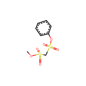 COS(=O)(=O)CS(=O)(=O)Oc1ccccc1